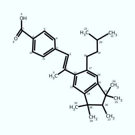 CC(=Cc1ccc(C(=O)O)cc1)c1cc2c(cc1CCC(C)C)C(C)(C)C(C)C2(C)C